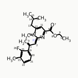 C=C(/C=C1/N=C(C(=O)OCC)C=C(CC(C)C)N1C)c1cccc(C)c1F